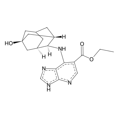 CCOC(=O)c1cnc2[nH]cnc2c1N[C@H]1[C@@H]2CC3C[C@H]1C[C@@](O)(C3)C2